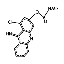 CNC(=O)Oc1cc(Cl)c2c(=N)n3ccccc3nc2c1